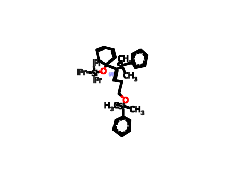 CC(C)[Si](OC1(/C(=C/CCO[Si](C)(C)c2ccccc2)[Si](C)(C)c2ccccc2)C=CC=CC1)(C(C)C)C(C)C